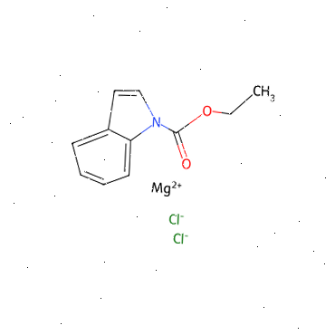 CCOC(=O)n1ccc2ccccc21.[Cl-].[Cl-].[Mg+2]